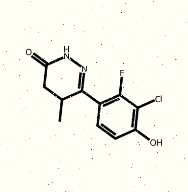 CC1CC(=O)NN=C1c1ccc(O)c(Cl)c1F